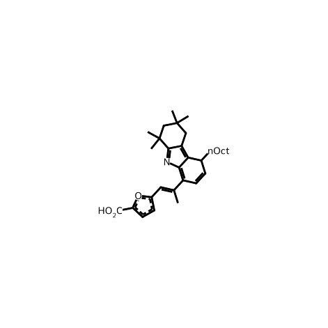 CCCCCCCCC1C=CC(C(C)=Cc2ccc(C(=O)O)o2)=C2N=C3C(=C21)CC(C)(C)CC3(C)C